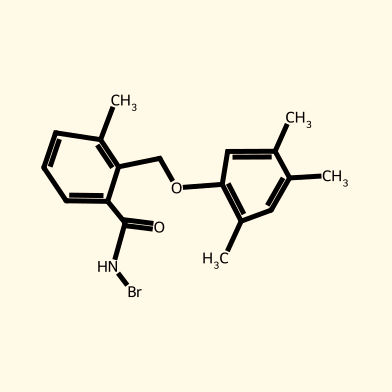 Cc1cc(C)c(OCc2c(C)cccc2C(=O)NBr)cc1C